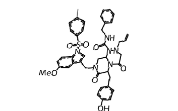 C=CCN1CC(=O)N2C(Cc3ccc(O)cc3)C(=O)N(Cc3cn(S(=O)(=O)c4ccc(C)cc4)c4ccc(OC)cc34)CC2N1C(=O)NCc1ccccc1